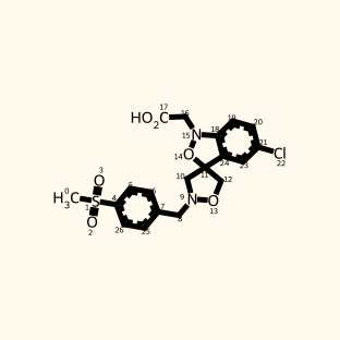 CS(=O)(=O)c1ccc(CN2CC3(CO2)ON(CC(=O)O)c2ccc(Cl)cc23)cc1